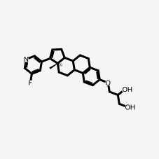 C[C@]12CCC3c4ccc(OCC(O)CO)cc4CCC3C1CC=C2c1cncc(F)c1